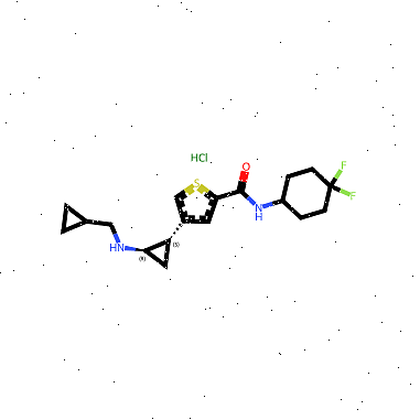 Cl.O=C(NC1CCC(F)(F)CC1)c1cc([C@@H]2C[C@H]2NCC2CC2)cs1